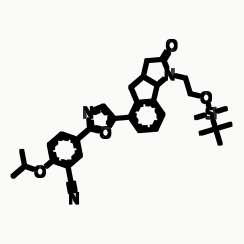 CC(C)Oc1ccc(-c2ncc(-c3cccc4c3CC3CC(=O)N(CCO[Si](C)(C)C(C)(C)C)C43)o2)cc1C#N